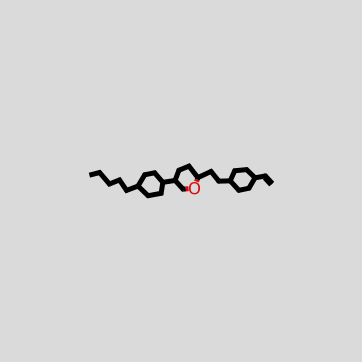 C=CC1CCC(CCC2CCC(C3CCC(CCCCC)CC3)CO2)CC1